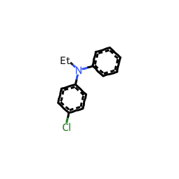 CCN(c1ccccc1)c1ccc(Cl)cc1